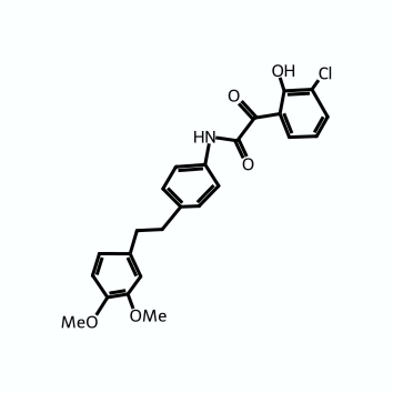 COc1ccc(CCc2ccc(NC(=O)C(=O)c3cccc(Cl)c3O)cc2)cc1OC